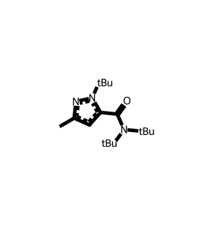 Cc1cc(C(=O)N(C(C)(C)C)C(C)(C)C)n(C(C)(C)C)n1